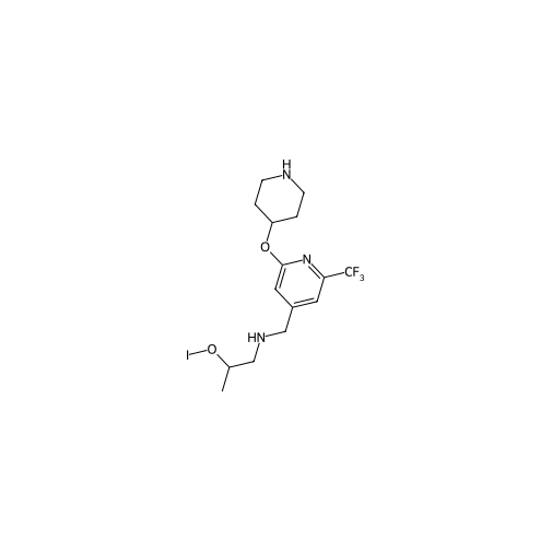 CC(CNCc1cc(OC2CCNCC2)nc(C(F)(F)F)c1)OI